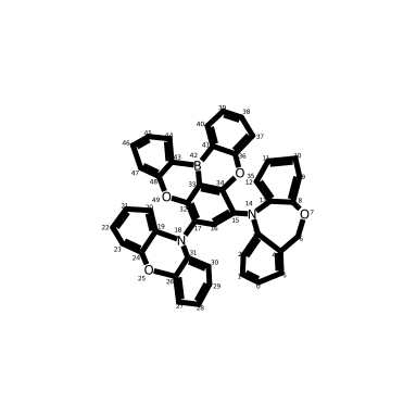 c1ccc2c(c1)COc1ccccc1N2c1cc(N2c3ccccc3Oc3ccccc32)c2c3c1Oc1ccccc1B3c1ccccc1O2